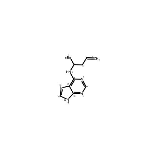 C=CCC(CCCC)Nc1ncnc2[nH]cnc12